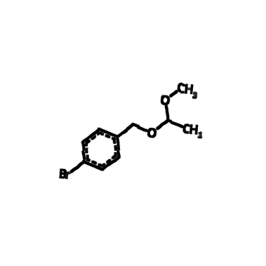 COC(C)OCc1ccc(Br)cc1